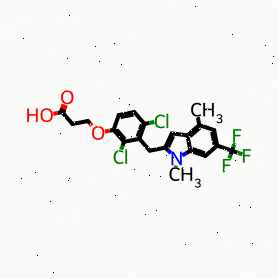 Cc1cc(C(F)(F)F)cc2c1cc(Cc1c(Cl)ccc(OCCC(=O)O)c1Cl)n2C